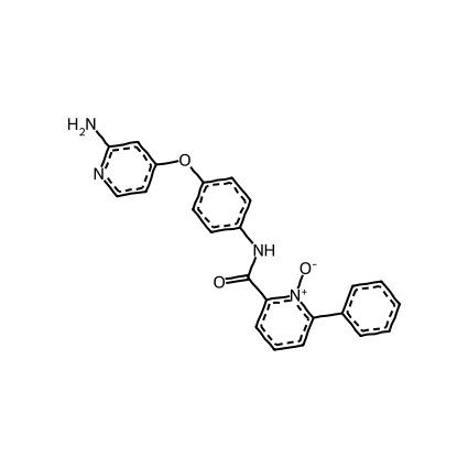 Nc1cc(Oc2ccc(NC(=O)c3cccc(-c4ccccc4)[n+]3[O-])cc2)ccn1